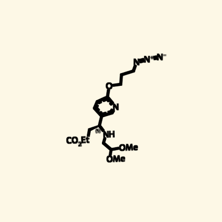 CCOC(=O)C[C@H](NCC(OC)OC)c1ccc(OCCCN=[N+]=[N-])nc1